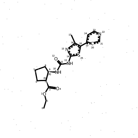 CCOC(=O)[C@H]1CCC[C@H]1NC(=O)Nc1nc(C)c(-c2ccncc2)s1